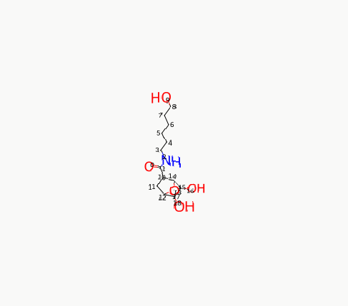 O=C(NCCCCCCO)C1CC2OC1C(O)C2O